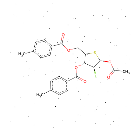 CC(=O)O[C@@H]1SC(COC(=O)c2ccc(C)cc2)[C@@H](OC(=O)c2ccc(C)cc2)[C@@H]1F